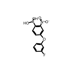 O=[N+]([O-])c1cc(Oc2cccc(F)c2)ccc1B(O)O